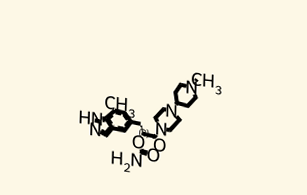 Cc1cc(C[C@@H](OC(N)=O)C(=O)N2CCN(C3CCN(C)CC3)CC2)cc2cn[nH]c12